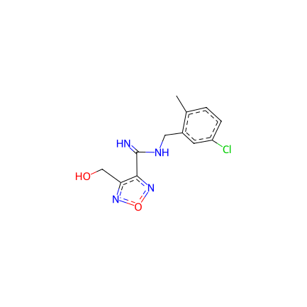 Cc1ccc(Cl)cc1CNC(=N)c1nonc1CO